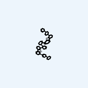 c1ccc(-c2ccc(-c3cccc4c3sc3c(-c5ccccc5-c5ccccc5-c5cccc6c5sc5c(-c7ccc(-c8ccccc8)cc7)cccc56)cccc34)cc2)cc1